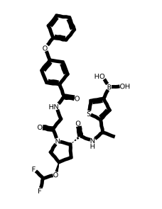 CC(NC(=O)[C@@H]1C[C@@H](OC(F)F)CN1C(=O)CNC(=O)c1ccc(Oc2ccccc2)cc1)c1cc(B(O)O)cs1